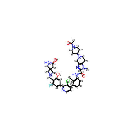 COc1cc(-c2nccc(-c3cccc(NC(=O)c4nc5c(n4C)CCN(C4CCN(C(C)=O)CC4)C5)c3C)c2Cl)cc(F)c1CN1CC2(CNC(=O)C2)C1